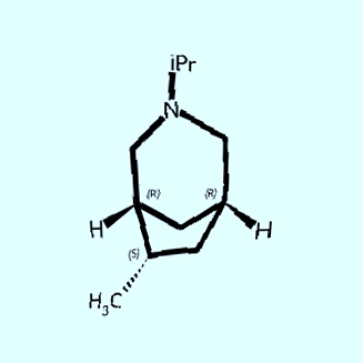 CC(C)N1C[C@H]2C[C@@H](C1)[C@@H](C)C2